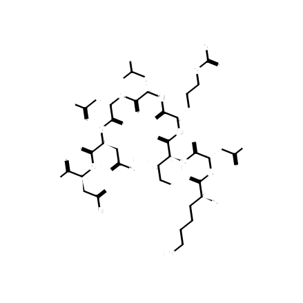 CC[C@H](C)[C@H](NC(=O)[C@H](CC(=O)O)NC(=O)[C@@H](N)CCCCN)C(=O)N[C@@H](CCCNC(N)=O)C(=O)N[C@@H](CC(C)C)C(=O)N[C@@H](CC(=O)O)C(=O)N[C@@H](CC(N)=O)C(=O)N[C@@H](CC(N)=O)C(=O)O